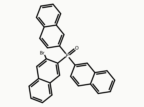 O=P(c1ccc2ccccc2c1)(c1ccc2ccccc2c1)c1cc2ccccc2cc1Br